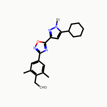 CCn1nc(-c2nc(-c3cc(C)c(CC=O)c(C)c3)no2)cc1C1CCCCC1